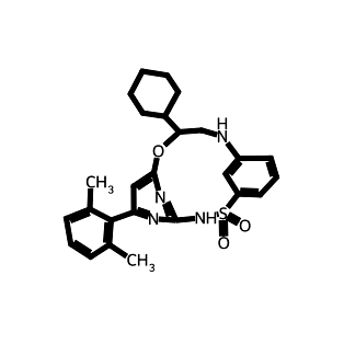 Cc1cccc(C)c1-c1cc2nc(n1)NS(=O)(=O)c1cccc(c1)NCC(C1CCCCC1)O2